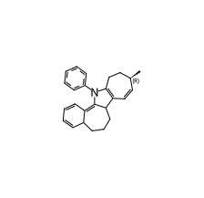 C[C@H]1C=CC2=C(CC1)N(c1ccccc1)C1=C3C=CC=CC3CCCC21